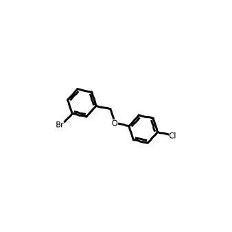 Clc1ccc(OCc2cccc(Br)c2)cc1